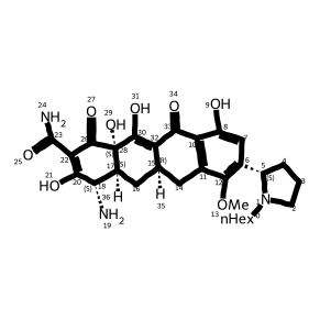 CCCCCCN1CCC[C@H]1c1cc(O)c2c(c1OC)C[C@H]1C[C@H]3[C@H](N)C(O)=C(C(N)=O)C(=O)[C@@]3(O)C(O)=C1C2=O